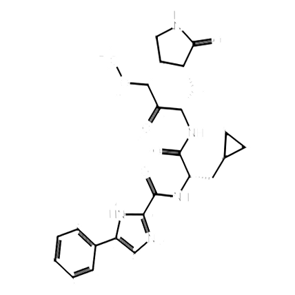 O=C(N[C@@H](CC1CC1)C(=O)N[C@@H](C[C@@H]1CCNC1=O)C(=O)COC(F)(F)F)c1ncc(-c2ccccc2)[nH]1